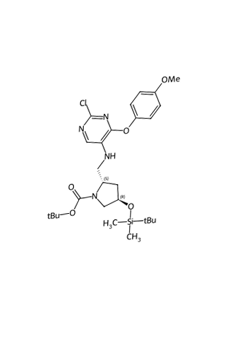 COc1ccc(Oc2nc(Cl)ncc2NC[C@@H]2C[C@@H](O[Si](C)(C)C(C)(C)C)CN2C(=O)OC(C)(C)C)cc1